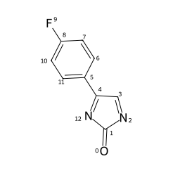 O=C1N=CC(c2ccc(F)cc2)=N1